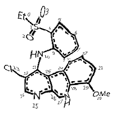 CCS(=O)(=O)c1ccccc1Nc1c(Cl)cnc2[nH]c3c(OC)cccc3c12